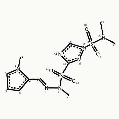 CN(/N=C/c1cccn1C)S(=O)(=O)c1ncn(S(=O)(=O)N(C)C)n1